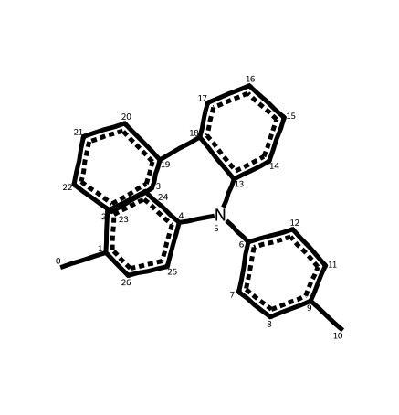 Cc1ccc(N(c2ccc(C)cc2)c2c[c]ccc2-c2ccccc2)cc1